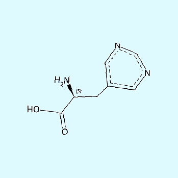 N[C@@H](Cc1cncnc1)C(=O)O